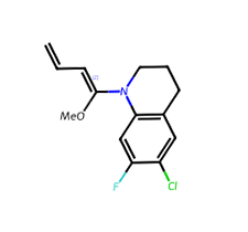 C=C/C=C(\OC)N1CCCc2cc(Cl)c(F)cc21